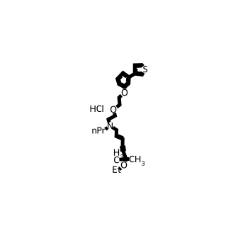 CCCN(CC=CC#CC(C)(C)OCC)CCOCCOc1cccc(-c2ccsc2)c1.Cl